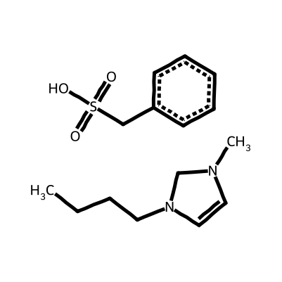 CCCCN1C=CN(C)C1.O=S(=O)(O)Cc1ccccc1